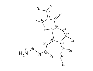 C=CC(C(C)C)C(C)CC1CCC(C)C2C(C)C(C)CC(CCN)CC12